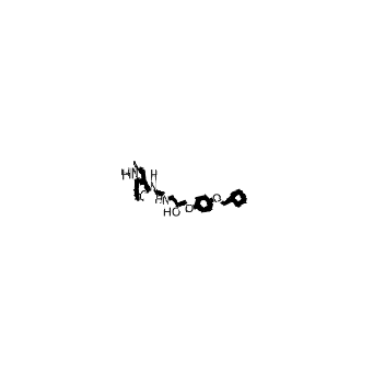 OC(CNCCNc1cccc2[nH]ncc12)COc1ccc(OCc2ccccc2)cc1